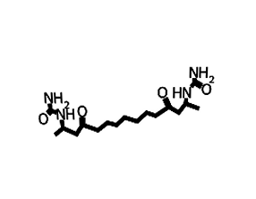 CC(CC(=O)CCCCCCCC(=O)CC(C)NC(N)=O)NC(N)=O